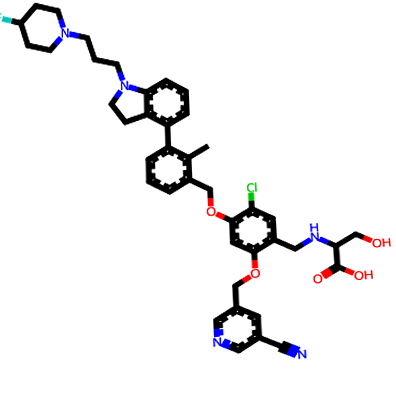 Cc1c(COc2cc(OCc3cncc(C#N)c3)c(CNC(CO)C(=O)O)cc2Cl)cccc1-c1cccc2c1CCN2CCCN1CCC(F)CC1